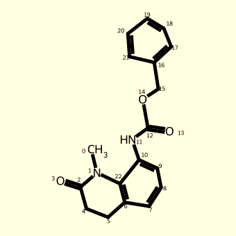 CN1C(=O)CCc2cccc(NC(=O)OCc3ccccc3)c21